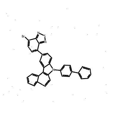 Brc1ccc(-c2ccc3c(c2)c2c4ccccc4ccc2n3-c2ccc(-c3ccccc3)cc2)c2nsnc12